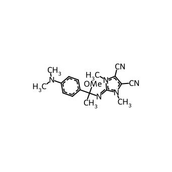 COC(C)(N=c1n(C)c(C#N)c(C#N)n1C)c1ccc(N(C)C)cc1